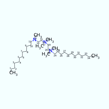 CCCCCCCCCCCCN(C)CC[N+](C)(C)CC[N+](C)(C)CCCCCCCCCCCC